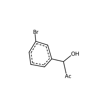 CC(=O)C(O)c1cccc(Br)c1